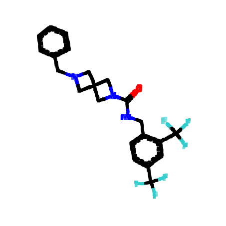 O=C(NCc1ccc(C(F)(F)F)cc1C(F)(F)F)N1CC2(CN(Cc3ccccc3)C2)C1